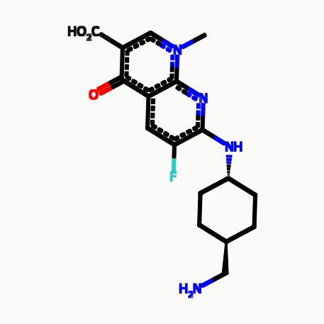 Cn1cc(C(=O)O)c(=O)c2cc(F)c(N[C@H]3CC[C@H](CN)CC3)nc21